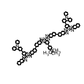 C[Si](C)(C)c1ccc(-c2cc3c4c(c2)n2c5cc6cc(-c7ccc8cc9nc%10n(c9cc8c7)c7cc(-c8cccc9c8c8ccccc8n9-c8ccccc8)cc8c7n%10c7nc9cc%10ccccc%10cc9n87)ccc6cc5nc2n4c2nc4cc5ccc(-c6ccc7cc8nc9n(c8cc7c6)c6cc(-c7ccc8c(c7)c7ccccc7n8-c7ccccc7)cc7c6n9c6nc8cc9ccccc9cc8n76)cc5cc4n32)cc1